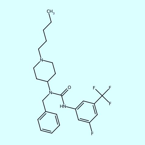 CCCCCN1CCC(N(Cc2ccccc2)C(=O)Nc2cc(F)cc(C(F)(F)F)c2)CC1